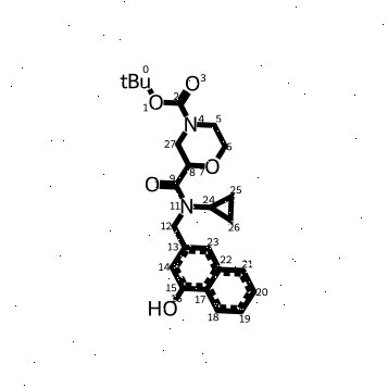 CC(C)(C)OC(=O)N1CCOC(C(=O)N(Cc2cc(O)c3ccccc3c2)C2CC2)C1